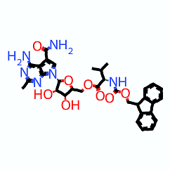 Cc1nc(N)c2c(C(N)=O)cn([C@@H]3OC(COC(=O)[C@@H](NC(=O)OCC4c5ccccc5-c5ccccc54)C(C)C)[C@@H](O)[C@H]3O)c2n1